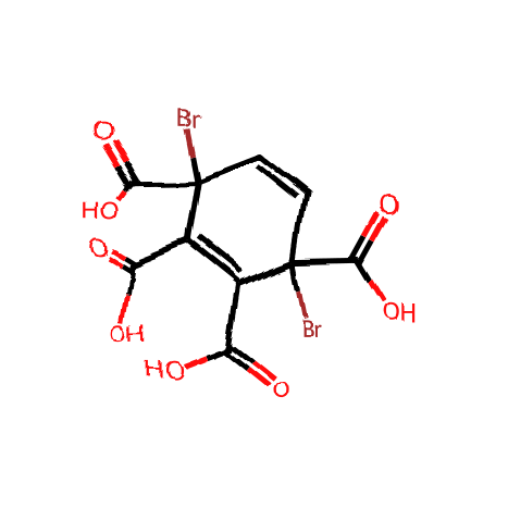 O=C(O)C1=C(C(=O)O)C(Br)(C(=O)O)C=CC1(Br)C(=O)O